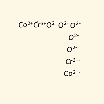 [Co+2].[Co+2].[Cr+3].[Cr+3].[O-2].[O-2].[O-2].[O-2].[O-2]